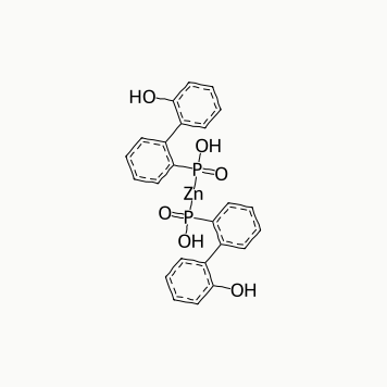 O=[P](O)([Zn][P](=O)(O)c1ccccc1-c1ccccc1O)c1ccccc1-c1ccccc1O